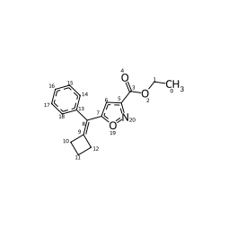 CCOC(=O)c1cc(C(=C2CCC2)c2ccccc2)on1